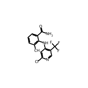 Cc1cccc(C(N)=O)c1Nc1cc(Cl)ncc1C(F)(F)F